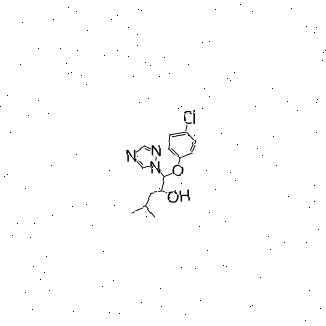 CC(C)CC(O)C(Oc1ccc(Cl)cc1)n1cncn1